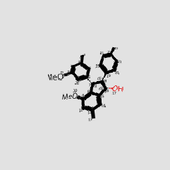 COc1cc(C)cc([C@H]2c3c(OC)cc(C)cc3[C@@H](O)[C@@H]2c2ccc(C)cc2)c1